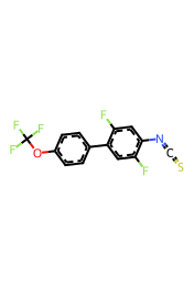 Fc1cc(-c2ccc(OC(F)(F)F)cc2)c(F)cc1N=C=S